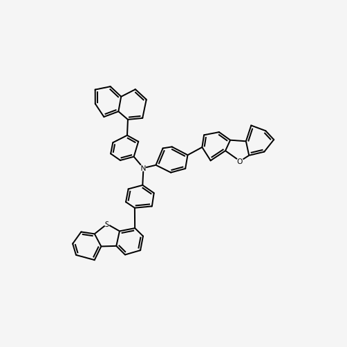 c1cc(-c2cccc3ccccc23)cc(N(c2ccc(-c3ccc4c(c3)oc3ccccc34)cc2)c2ccc(-c3cccc4c3sc3ccccc34)cc2)c1